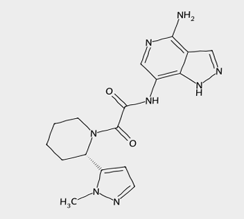 Cn1nccc1[C@@H]1CCCCN1C(=O)C(=O)Nc1cnc(N)c2cn[nH]c12